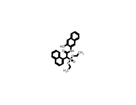 CCOP(=O)(OCC)C(C(=O)Nc1cc2ccccc2cc1O)c1cccc2ccccc12